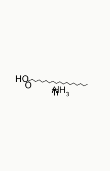 CCCCCCCCCCCCCCCCCC(=O)O.[AlH3].[Ti]